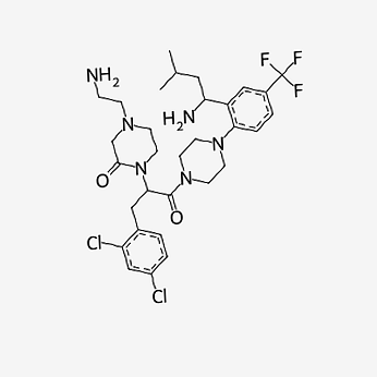 CC(C)CC(N)c1cc(C(F)(F)F)ccc1N1CCN(C(=O)C(Cc2ccc(Cl)cc2Cl)N2CCN(CCN)CC2=O)CC1